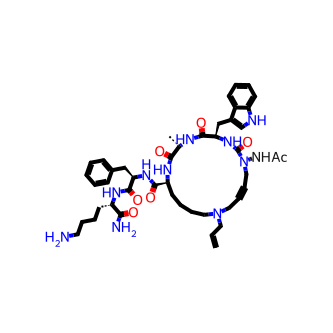 C=CCN1CC#CCN(NC(C)=O)C(=O)N[C@H](Cc2c[nH]c3ccccc23)C(=O)N[C@@H](C)C(=O)N[C@H](C(=O)N[C@H](Cc2ccccc2)C(=O)N[C@@H](CCCCN)C(N)=O)CCCC1